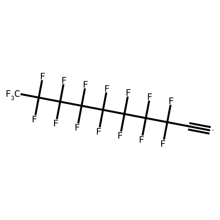 [C]#CC(F)(F)C(F)(F)C(F)(F)C(F)(F)C(F)(F)C(F)(F)C(F)(F)C(F)(F)F